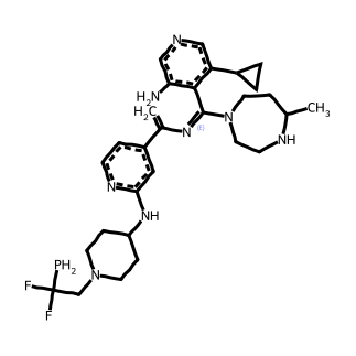 C=C(/N=C(\c1c(N)cncc1C1CC1)N1CCNC(C)CC1)c1ccnc(NC2CCN(CC(F)(F)P)CC2)c1